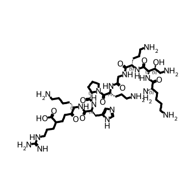 N=C(N)NCCCC(CCC(=O)[C@H](CCCCN)NC(=O)[C@H](Cc1cnc[nH]1)NC(=O)[C@@H]1CCCN1C(=O)[C@@H](CCCN)NC(=O)CNC(=O)[C@H](CCCN)NC(=O)[C@@H](NC(=O)[C@@H](N)CCCCN)[C@@H](O)CN)C(=O)O